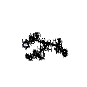 C=C1/C=C\C=C/C[C@H](NC(=O)[C@@H]2CCCN2C(=O)[C@H](CCCCNC(=O)c2cc(C(=O)NCCCC[C@H](NC(=O)[C@H](C)NC)C(=O)N3CCC[C@H]3C(=O)N[C@@H]3CCCc4ccccc43)cc(C(=O)NCCCC[C@H](NC(=O)[C@H](C)NC)C(=O)N3CCC[C@H]3C(=O)N[C@@H]3CCCc4ccccc43)c2)NC(=O)[C@H](C)NC)CCC1